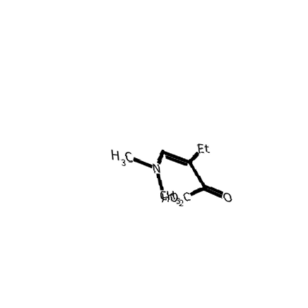 CCC(=CN(C)C)C(=O)C(=O)O